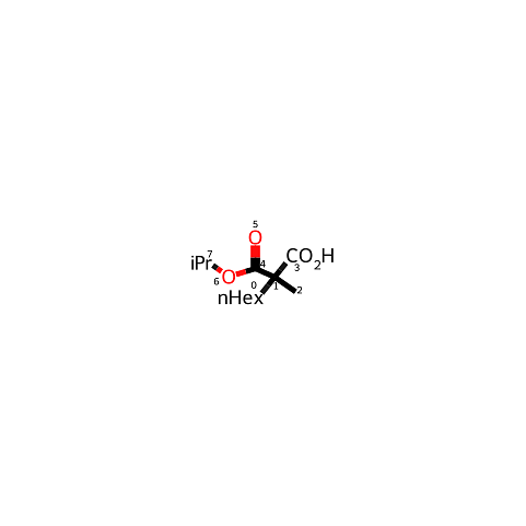 CCCCCCC(C)(C(=O)O)C(=O)OC(C)C